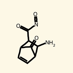 NC1C2C=CC(C2=O)C1C(=O)N=O